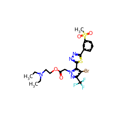 CCN(CC)CCOC(=O)Cn1nc(C(F)(F)F)c(Br)c1-c1nnc(-c2cccc(S(C)(=O)=O)c2)s1